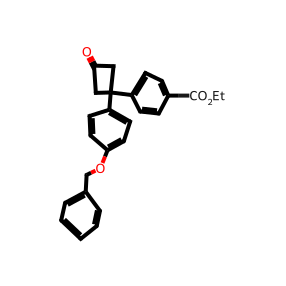 CCOC(=O)c1ccc(C2(c3ccc(OCc4ccccc4)cc3)CC(=O)C2)cc1